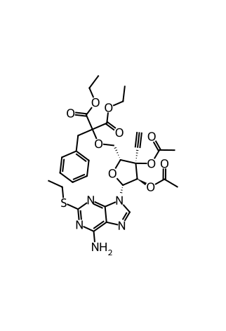 C#C[C@@]1(OC(C)=O)[C@@H](COC(Cc2ccccc2)(C(=O)OCC)C(=O)OCC)O[C@@H](n2cnc3c(N)nc(SCC)nc32)[C@@H]1OC(C)=O